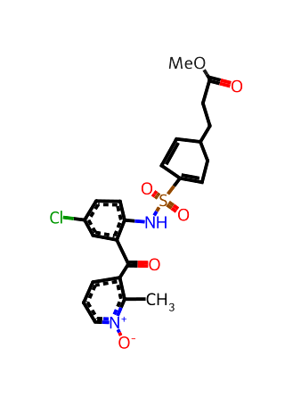 COC(=O)CCC1C=CC(S(=O)(=O)Nc2ccc(Cl)cc2C(=O)c2ccc[n+]([O-])c2C)=CC1